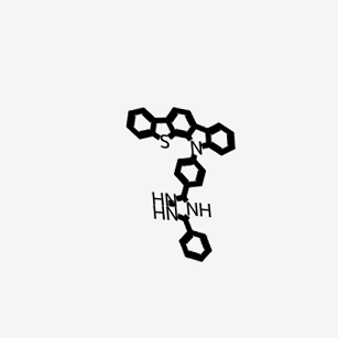 c1ccc(C2NNC(c3ccc(-n4c5ccccc5c5ccc6c7ccccc7sc6c54)cc3)N2)cc1